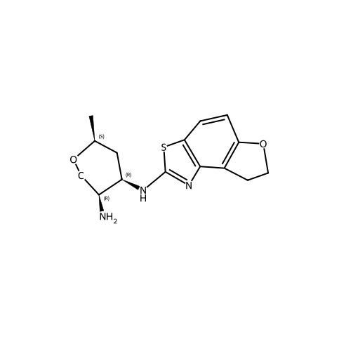 C[C@H]1C[C@@H](Nc2nc3c4c(ccc3s2)OCC4)[C@@H](N)CO1